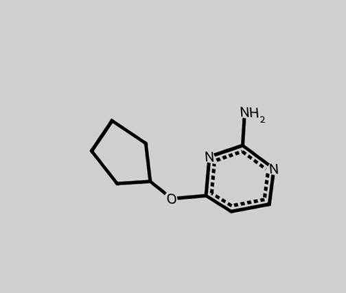 Nc1nccc(OC2CCCC2)n1